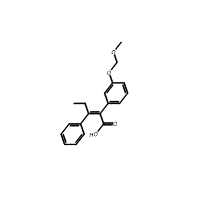 CC/C(=C(/C(=O)O)c1cccc(OCOC)c1)c1ccccc1